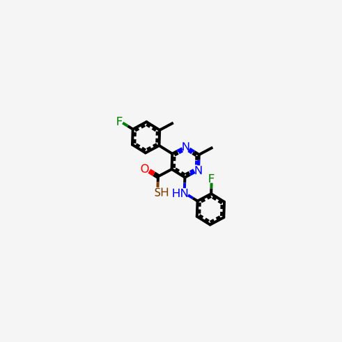 Cc1nc(Nc2ccccc2F)c(C(=O)S)c(-c2ccc(F)cc2C)n1